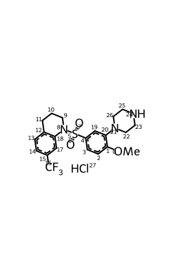 COc1ccc(S(=O)(=O)N2CCCc3ccc(C(F)(F)F)cc32)cc1N1CCNCC1.Cl